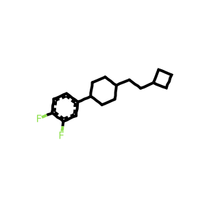 Fc1ccc(C2CCC(CCC3CCC3)CC2)cc1F